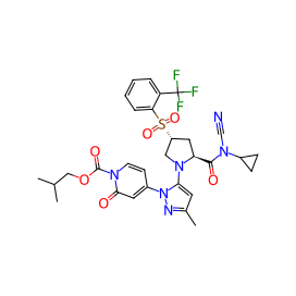 Cc1cc(N2C[C@H](S(=O)(=O)c3ccccc3C(F)(F)F)C[C@H]2C(=O)N(C#N)C2CC2)n(-c2ccn(C(=O)OCC(C)C)c(=O)c2)n1